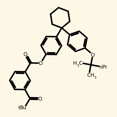 CCCC(C)(C)Oc1ccc(C2(c3ccc(OC(=O)c4cccc(C(=O)C(C)(C)C)c4)cc3)CCCCC2)cc1